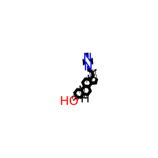 C[C@H](CN1CCN(C)CC1)[C@H]1CC=C2C3=C(CC[C@@]21C)[C@@]1(C)CC[C@H](O)C[C@@H]1CC3